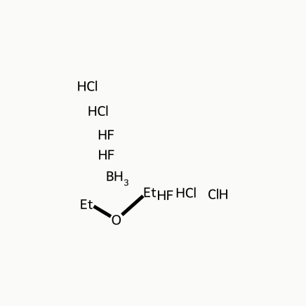 B.CCOCC.Cl.Cl.Cl.Cl.F.F.F